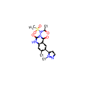 CCC(=O)N(n1c(=O)[nH]c2cc(CC)c(-c3ccnn3CC)cc2c1=O)S(C)(=O)=O